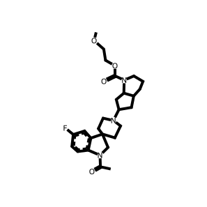 COCCOC(=O)N1CCCC2CC(N3CCC4(CC3)CN(C(C)=O)c3ccc(F)cc34)CC21